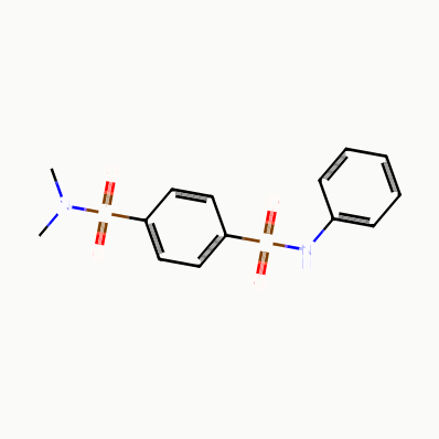 CN(C)S(=O)(=O)c1ccc(S(=O)(=O)Nc2ccccc2)cc1